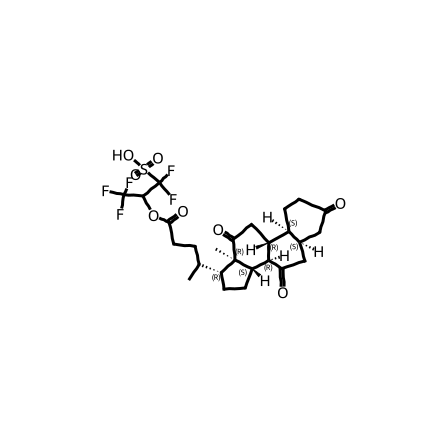 CC(CCC(=O)OC(C(F)(F)F)C(F)(F)S(=O)(=O)O)[C@H]1CC[C@H]2[C@@H]3C(=O)C[C@@H]4CC(=O)CC[C@@H]4[C@H]3CC(=O)[C@]12C